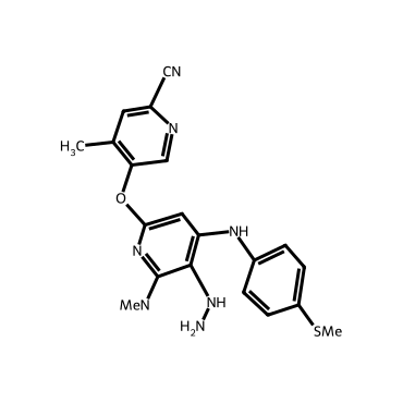 CNc1nc(Oc2cnc(C#N)cc2C)cc(Nc2ccc(SC)cc2)c1NN